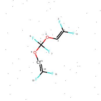 FC(F)=COC(F)(F)[O][Cf]=[C](F)F